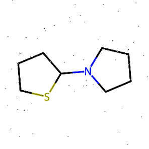 C1CSC(N2CCCC2)C1